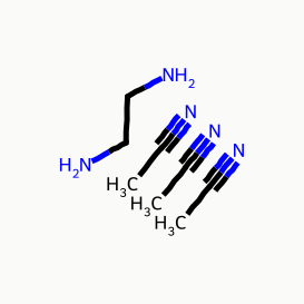 CC#N.CC#N.CC#N.NCCN